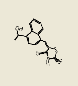 CC(O)c1ccc(/C=C2/SC(=S)NC2=O)c2ccccc12